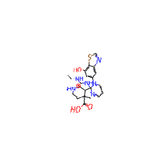 CCNC(=O)NC1(C2CNCCC2(C)C(=O)O)N=CC=CN1c1cc(O)c2scnc2c1